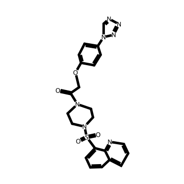 O=C(COc1ccc(-n2cnnn2)cc1)N1CCN(S(=O)(=O)c2cccc3cccnc23)CC1